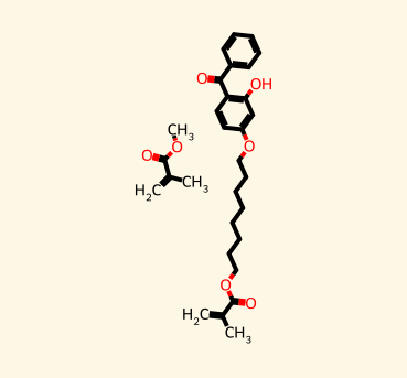 C=C(C)C(=O)OC.C=C(C)C(=O)OCCCCCCCCOc1ccc(C(=O)c2ccccc2)c(O)c1